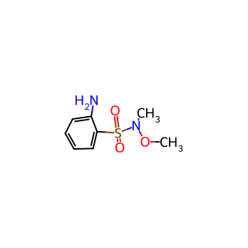 CON(C)S(=O)(=O)c1ccccc1N